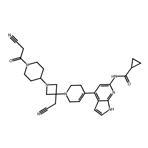 N#CCC(=O)N1CCC(N2CC(CC#N)(N3CC=C(c4cc(NC(=O)C5CC5)nc5[nH]ccc45)CC3)C2)CC1